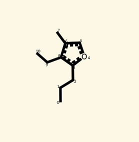 CCCc1occ(C)c1CC